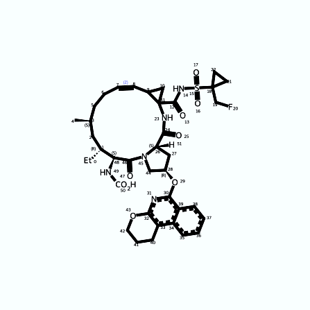 CC[C@@H]1C[C@@H](C)CC/C=C\C2CC2(C(=O)NS(=O)(=O)C2(CF)CC2)NC(=O)[C@@H]2C[C@@H](Oc3nc4c(c5ccccc35)CCCO4)CN2C(=O)[C@H]1NC(=O)O